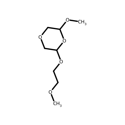 COCCOC1COCC(OC)O1